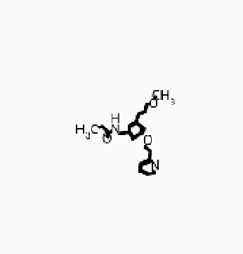 CCC(=O)NCc1cc(CCCOC)cc(OCCc2ccccn2)c1